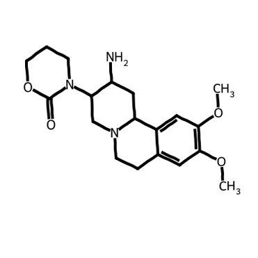 COc1cc2c(cc1OC)C1CC(N)C(N3CCCOC3=O)CN1CC2